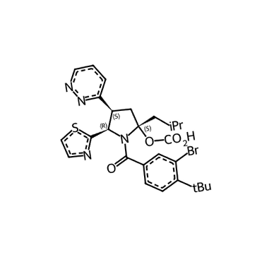 CC(C)C[C@]1(OC(=O)O)C[C@H](c2cccnn2)[C@H](c2nccs2)N1C(=O)c1ccc(C(C)(C)C)c(Br)c1